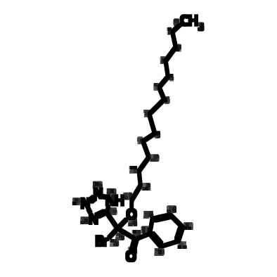 CCCCCCCCCCCCCCOC(Br)(C(=O)c1ccccc1)c1nnn[nH]1